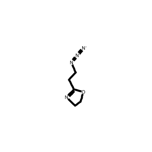 [N-]=[N+]=NCCC1=NCCO1